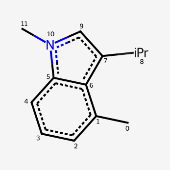 Cc1cccc2c1c(C(C)C)cn2C